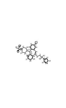 CC(C)(CCC1=Cc2cc(Cl)ccc2C(C2CCN(S(C)(=O)=O)CC2)c2ncccc21)n1ccnc1